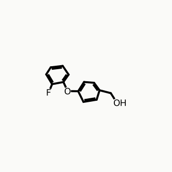 OCc1ccc(Oc2ccccc2F)cc1